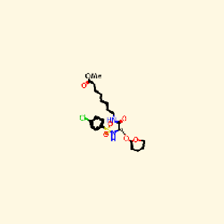 COC(=O)CCCCCCCNC(=O)[C@H](COC1CCCCO1)NS(=O)(=O)c1ccc(Cl)cc1